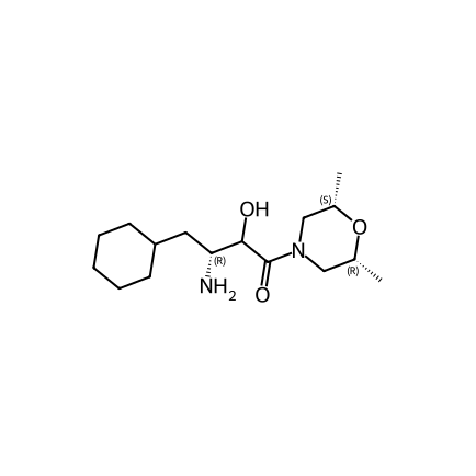 C[C@@H]1CN(C(=O)C(O)[C@H](N)CC2CCCCC2)C[C@H](C)O1